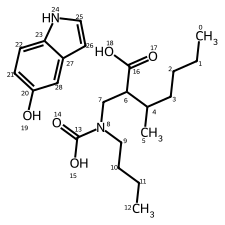 CCCCC(C)C(CN(CCCC)C(=O)O)C(=O)O.Oc1ccc2[nH]ccc2c1